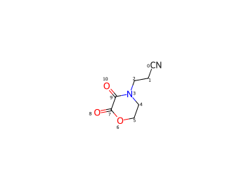 N#CCCN1CCOC(=O)C1=O